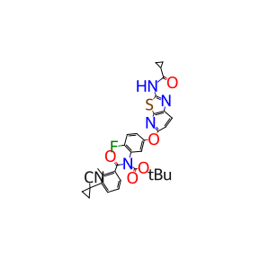 Cc1c(C(=O)N(C(=O)OC(C)(C)C)c2cc(Oc3ccc4nc(NC(=O)C5CC5)sc4n3)ccc2F)cccc1C1(C#N)CC1